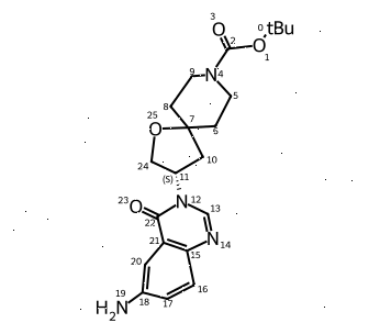 CC(C)(C)OC(=O)N1CCC2(CC1)C[C@H](n1cnc3ccc(N)cc3c1=O)CO2